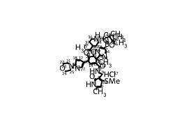 CSc1cc(C)[nH]c(=O)c1CNC(=O)C1=CC(c2ccc(N3CCOCC3)nc2)=C2OC(C)(C3CCNCC3)OC2C1(C)c1ncc(B2OC(C)(C)C(C)(C)O2)cn1.Cl